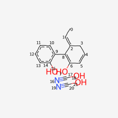 CC=C1CC=CC(O)=C1c1ccccc1O.N#CO.N#CO